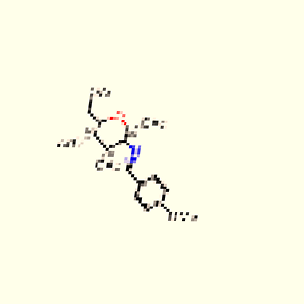 COc1ccc(/C=N/C2[C@@H](OC(C)=O)OC(COC(C)=O)[C@@H](OC(C)=O)[C@H]2OC(C)=O)cc1